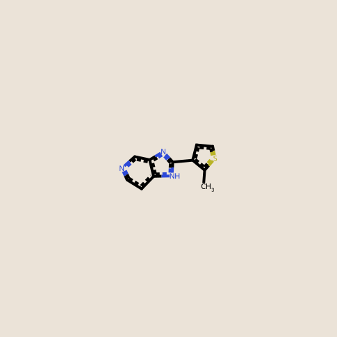 Cc1sccc1-c1nc2cnccc2[nH]1